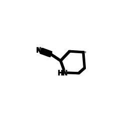 N#CC1C[CH]CCN1